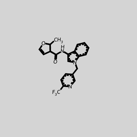 CC1OC=CC1C(=O)Nc1cn(Cc2ccc(C(F)(F)F)nc2)c2ccccc12